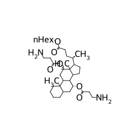 CCCCCCOC(=O)CC[C@@H](C)C1CCC2C3C(C[C@H](OC(=O)CCN)C21C)C1(C)CCCCC1C[C@H]3OC(=O)CCN